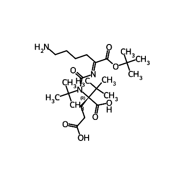 CC(C)(C)OC(=O)C(CCCCN)=NC(=O)N(C(C)(C)C)[C@@](CCC(=O)O)(C(=O)O)C(C)(C)C